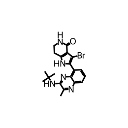 Cc1nc2cccc(-c3[nH]c4c(c3Br)C(=O)NCC4)c2nc1NC(C)(C)C